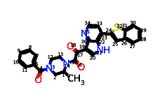 CC1CN(C(=O)c2ccccc2)CCN1C(=O)C(=O)c1c[nH]c2c(-c3cc4ccccc4s3)ccnc12